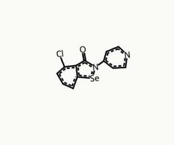 O=c1c2c(Cl)cccc2[se]n1-c1ccncc1